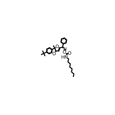 CCCCCCCCNC(=O)O/N=C(\C1=CC(=O)C(C)(c2ccc(C(C)(C)C)cc2)O1)c1ccccc1